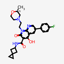 C[C@H]1CN(CCn2c(=O)c(C(=O)NC3CC4(CC4)C3)c(O)c3cc(-c4ccc(F)cc4)cnc32)CCO1